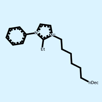 CCCCCCCCCCCCCCCC[n+]1ccn(-c2ccccc2)c1CC